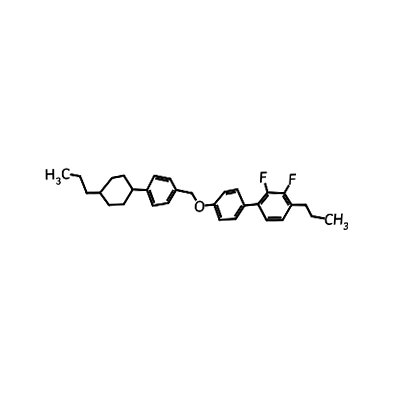 CCCc1ccc(-c2ccc(OCc3ccc(C4CCC(CCC)CC4)cc3)cc2)c(F)c1F